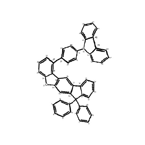 c1ccc(C2(c3ccccc3)c3ccccc3-c3cc4c(cc32)oc2cccc(-c3ccc(-n5c6ccccc6c6ccccc65)cc3)c24)cc1